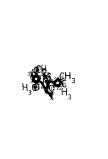 COc1cc(CCN(CC2CC2)C(=O)c2nc(C)sc2-c2ccc(C)c(C)c2)c(OC)cc1I